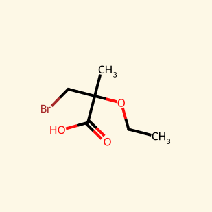 CCOC(C)(CBr)C(=O)O